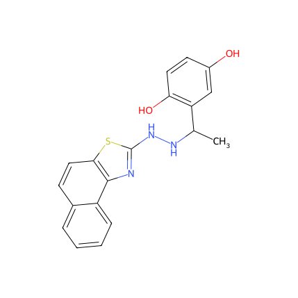 CC(NNc1nc2c(ccc3ccccc32)s1)c1cc(O)ccc1O